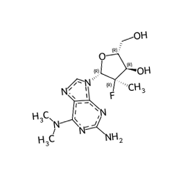 CN(C)c1nc(N)nc2c1ncn2[C@@H]1O[C@H](CO)[C@@H](O)[C@@]1(C)F